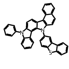 c1ccc(-n2c3ccccc3c3c2ccc2c4c5ccccc5ccc4n(-c4ccc5sc6ccccc6c5c4)c23)cc1